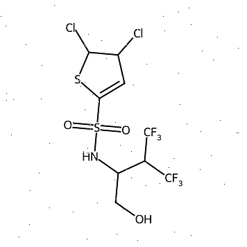 O=S(=O)(NC(CO)C(C(F)(F)F)C(F)(F)F)C1=CC(Cl)C(Cl)S1